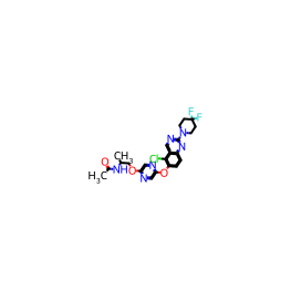 CC(=O)NC(C)COc1cnc(Oc2ccc3nc(N4CCC(F)(F)CC4)ncc3c2Cl)cn1